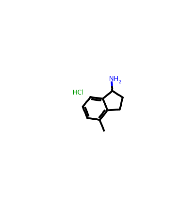 Cc1cccc2c1CCC2N.Cl